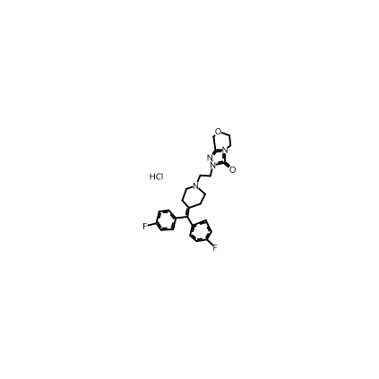 Cl.O=c1n(CCN2CCC(=C(c3ccc(F)cc3)c3ccc(F)cc3)CC2)nc2n1CCOC2